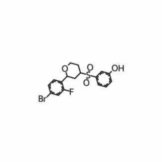 O=S(=O)(c1cccc(O)c1)C1CCOC(c2ccc(Br)cc2F)C1